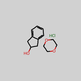 C1COCCO1.Cl.OC1Cc2ccccc2C1